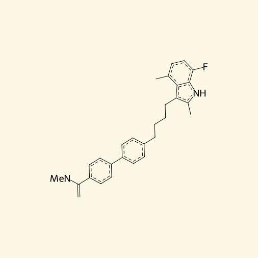 C=C(NC)c1ccc(-c2ccc(CCCCc3c(C)[nH]c4c(F)ccc(C)c34)cc2)cc1